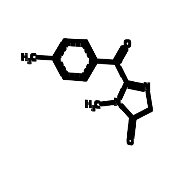 Cc1ccc(C(=O)C2=NCC(=O)N2C)cc1